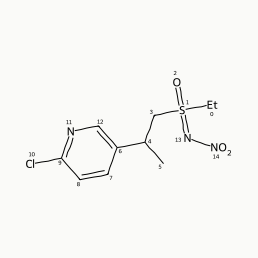 CCS(=O)(CC(C)c1ccc(Cl)nc1)=N[N+](=O)[O-]